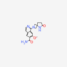 COc1cc2c(N3CC4(CCC(=O)N4)C3)nccc2cc1C(N)=O